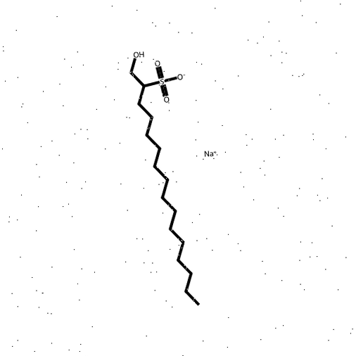 CCCCCCCCCCCCCCC(CO)S(=O)(=O)[O-].[Na+]